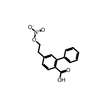 O=C(O)c1ccc(CCO[N+](=O)[O-])cc1-c1ccccc1